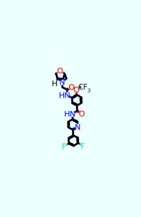 O=C(CN1CC2C[C@H]1CO2)Nc1cc(C(=O)Nc2ccc(-c3cc(F)cc(F)c3)nc2)ccc1OC(F)(F)F